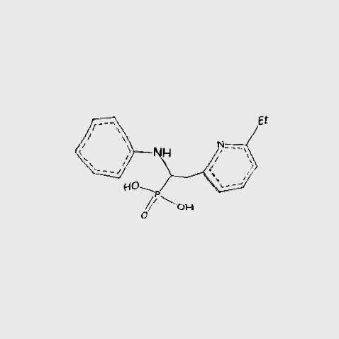 CCc1cccc(C(Nc2ccccc2)P(=O)(O)O)n1